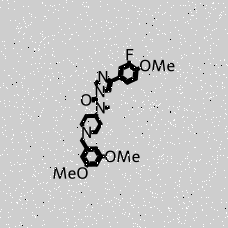 COc1cc(CN2CCC(N(C)C(=O)n3cnc(-c4ccc(OC)c(F)c4)c3)CC2)cc(OC)c1